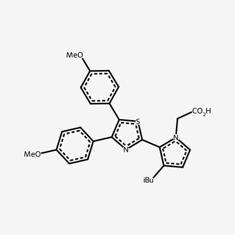 CCC(C)c1ccn(CC(=O)O)c1-c1nc(-c2ccc(OC)cc2)c(-c2ccc(OC)cc2)s1